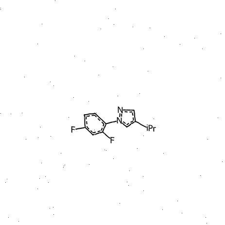 CC(C)c1cnn(-c2ccc(F)cc2F)c1